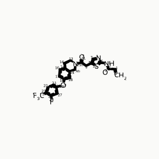 C=CC(=O)Nc1ncc(CC(=O)N2CCc3ccc(Oc4ccc(C(F)(F)F)c(F)c4)cc3C2)s1